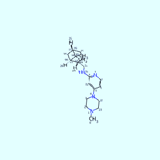 CN1CCN(c2ccnc(NC[C@H]3CC[C@H]4C[C@H]3C4(C)C)c2)CC1